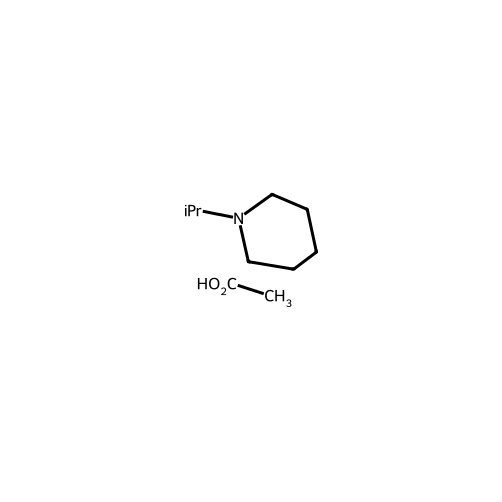 CC(=O)O.CC(C)N1CCCCC1